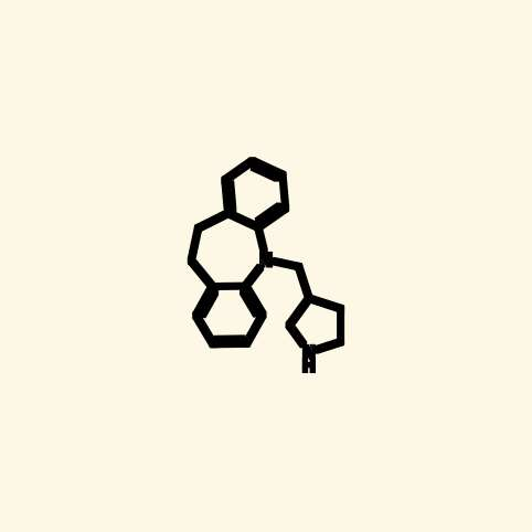 c1ccc2c(c1)CCc1ccccc1N2CC1CCNC1